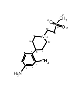 Cc1cc(N)ccc1C1CCN(CCS(C)(=O)=O)CC1